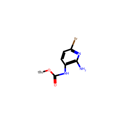 CC(C)(C)OC(=O)Nc1ccc(Br)nc1N